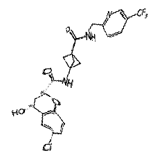 O=C(NC12CC(C(=O)NCc3ccc(C(F)(F)F)cn3)(C1)C2)[C@H]1C[C@@H](O)c2cc(Cl)ccc2O1